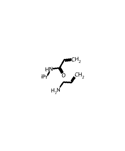 C=CC(=O)NC(C)C.C=CCN